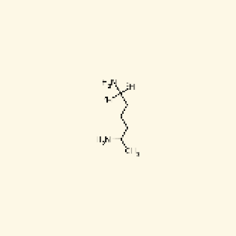 [2H]C([2H])(N)CCCC(C)N